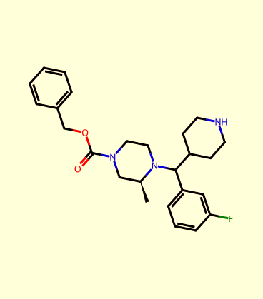 C[C@H]1CN(C(=O)OCc2ccccc2)CCN1C(c1cccc(F)c1)C1CCNCC1